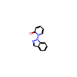 O=c1ccccn1-n1ncc2ccccc21